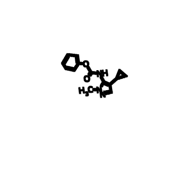 Cn1ncc(C2CC2)c1NC(=O)Oc1ccccc1